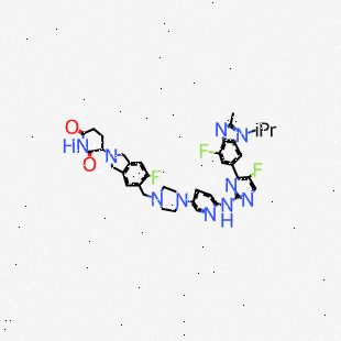 Cc1nc2c(F)cc(-c3nc(Nc4ccc(N5CCN(Cc6cc7c(cc6F)CN(C6CCC(=O)NC6=O)C7)CC5)cn4)ncc3F)cc2n1C(C)C